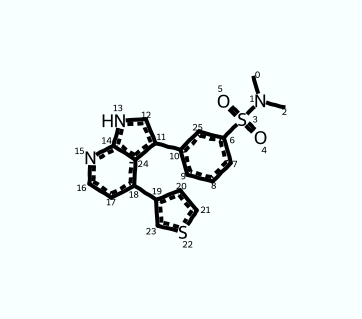 CN(C)S(=O)(=O)c1cccc(-c2c[nH]c3nccc(-c4ccsc4)c23)c1